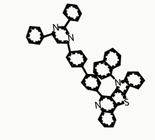 c1ccc(-c2cc(-c3ccc(-c4ccc(-c5nc6ccccc6c6sc7c8ccccc8n(-c8cccc9ccccc89)c7c56)cc4)cc3)nc(-c3ccccc3)n2)cc1